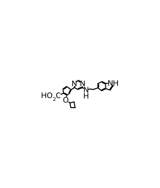 O=C(O)c1ccc(-c2cc(NCCc3ccc4[nH]ccc4c3)ncn2)cc1OC1CCC1